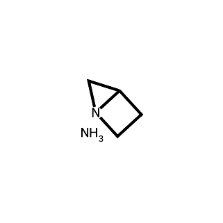 C1CN2CC12.N